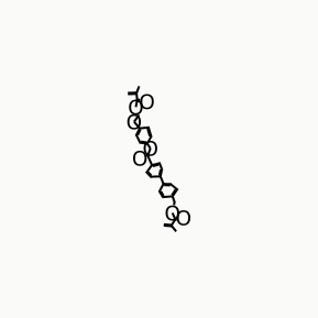 C=C(C)C(=O)OCOc1ccc(OC(=O)c2ccc(-c3ccc(COC(=O)C(=C)C)cc3)cc2)cc1